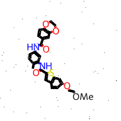 COCCOc1ccc2cc(C(=O)Nc3cc(NC(=O)c4ccc5c(c4)OCCO5)ccc3C)sc2c1